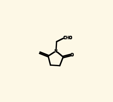 C=C1CCC(=O)N1CC=O